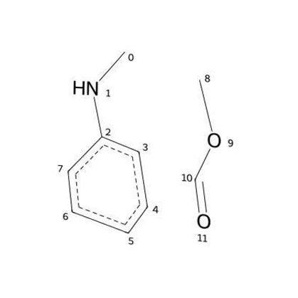 CNc1ccccc1.COC=O